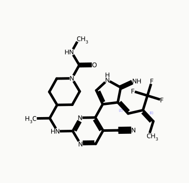 C/C=C(\C=C1/C(=N)NC=C1c1nc(NC(C)C2CCN(C(=O)NC)CC2)ncc1C#N)C(F)(F)F